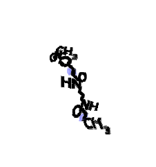 C/C=C/C(=O)NCCCCNC(=O)/C=C/c1ccc([N+](C)=O)cc1